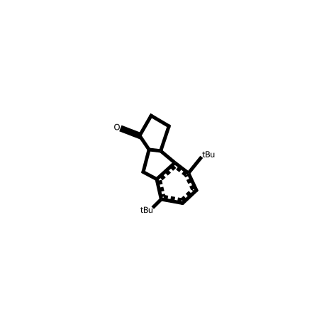 CC(C)(C)c1ccc(C(C)(C)C)c2c1CC1C(=O)CCC21